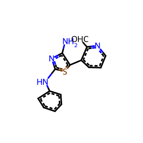 Nc1nc(Nc2ccccc2)sc1-c1cccnc1C=O